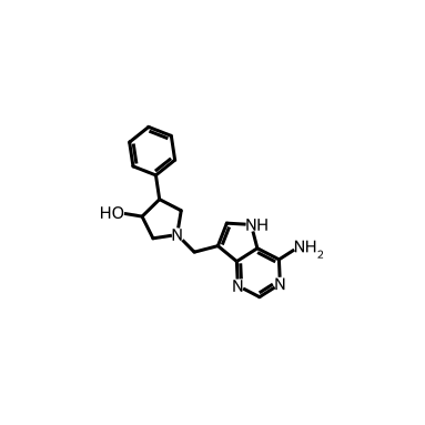 Nc1ncnc2c(CN3CC(O)C(c4ccccc4)C3)c[nH]c12